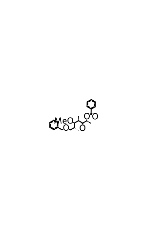 CO[C@H]([C@H](C)COCc1ccccc1)[C@@H](C)C(=O)[C@H](C)OC(=O)c1ccccc1